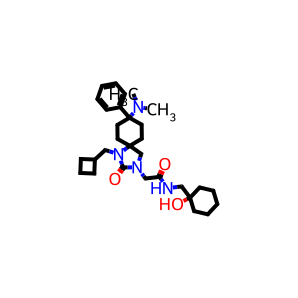 CN(C)C1(c2ccccc2)CCC2(CC1)CN(CC(=O)NCC1(O)CCCCC1)C(=O)N2CC1CCC1